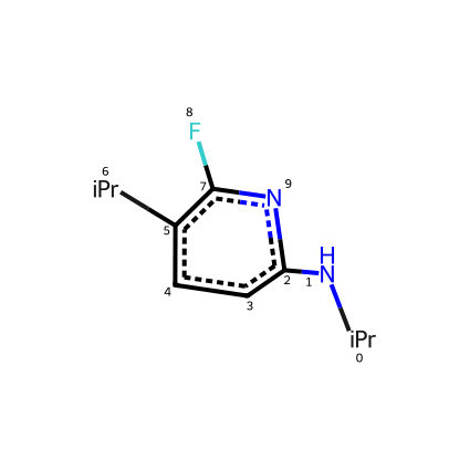 CC(C)Nc1ccc(C(C)C)c(F)n1